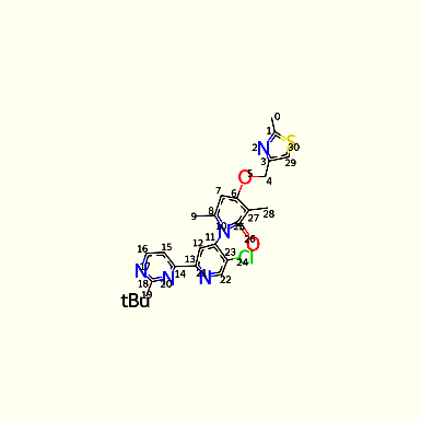 Cc1nc(COc2cc(C)n(-c3cc(-c4ccnc(C(C)(C)C)n4)ncc3Cl)c(=O)c2C)cs1